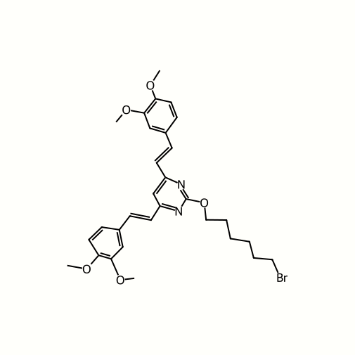 COc1ccc(C=Cc2cc(C=Cc3ccc(OC)c(OC)c3)nc(OCCCCCCBr)n2)cc1OC